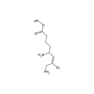 CCCOC(=O)CCCC(N)C=C(CC)CP